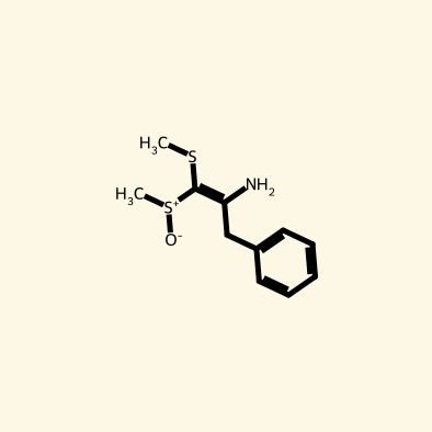 CS/C(=C(\N)Cc1ccccc1)[S+](C)[O-]